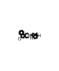 O=C1CC2(CCN([C@@H]3CC45C[C@H]4CC[C@@H]35)CC2)c2ccccc21